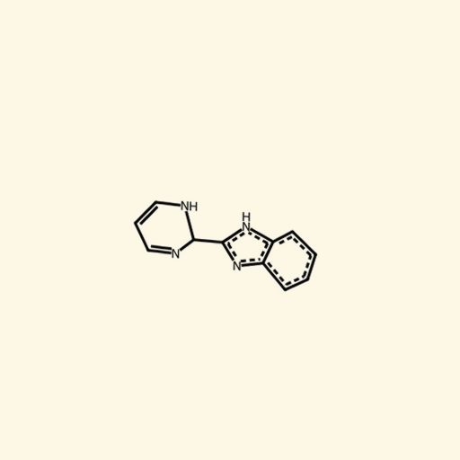 C1=CNC(c2nc3ccccc3[nH]2)N=C1